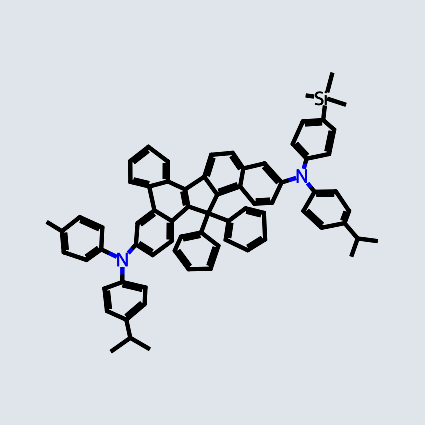 Cc1ccc(N(c2ccc(C(C)C)cc2)c2ccc3c4c(c5ccccc5c3c2)-c2ccc3cc(N(c5ccc(C(C)C)cc5)c5ccc([Si](C)(C)C)cc5)ccc3c2C4(c2ccccc2)c2ccccc2)cc1